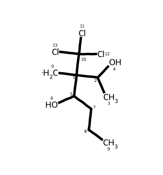 [CH2]C(C(C)O)(C(O)CCC)C(Cl)(Cl)Cl